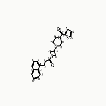 O=C(CCc1cccc2ccccc12)N1CC(N2CCN(C(=O)c3nccs3)CC2)C1